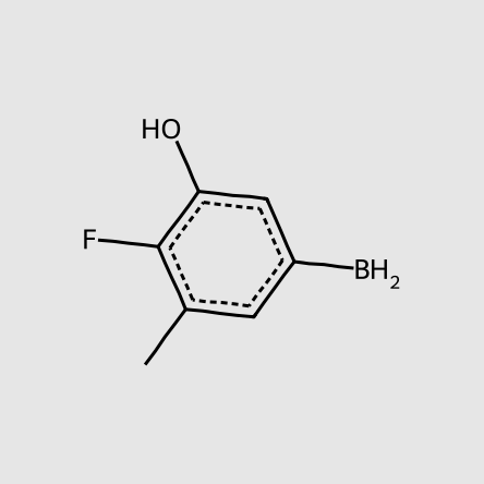 Bc1cc(C)c(F)c(O)c1